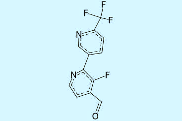 O=Cc1ccnc(-c2ccc(C(F)(F)F)nc2)c1F